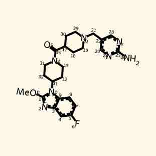 COc1nc2cc(F)ccc2n1C1CCN(C(=O)C2CCN(Cc3cnc(N)nc3)CC2)CC1